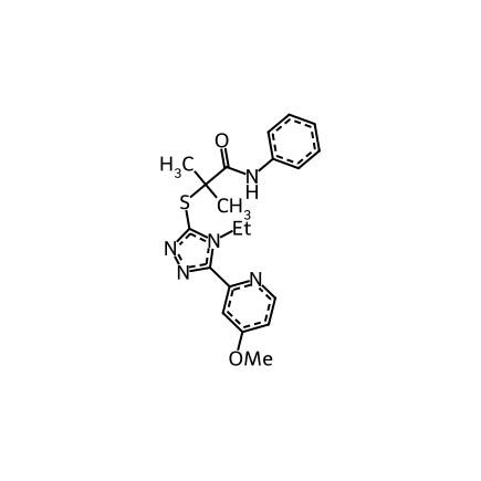 CCn1c(SC(C)(C)C(=O)Nc2ccccc2)nnc1-c1cc(OC)ccn1